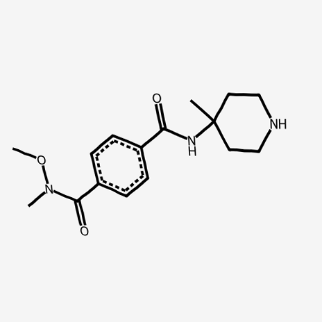 CON(C)C(=O)c1ccc(C(=O)NC2(C)CCNCC2)cc1